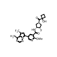 COc1ncc(-c2cc(C(F)(F)F)c3c(N)ncnn23)cc1C(=O)N[C@@H]1CN(C(=O)C2(O)CCC2)C[C@@H]1F